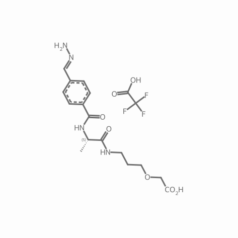 C[C@H](NC(=O)c1ccc(C=NN)cc1)C(=O)NCCCOCC(=O)O.O=C(O)C(F)(F)F